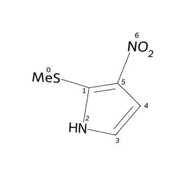 CSc1[nH]ccc1[N+](=O)[O-]